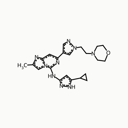 Cc1cn2c(Nc3cc(C4CC4)[nH]n3)nc(-c3cnn(CCN4CCOCC4)c3)cc2n1